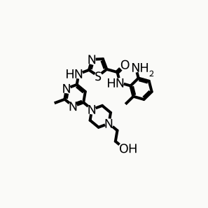 Cc1nc(Nc2ncc(C(=O)Nc3c(C)cccc3N)s2)cc(N2CCN(CCO)CC2)n1